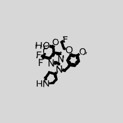 COc1ccc(CN(c2ncc(C(=O)O)c(C(F)(F)F)n2)C2CCNCC2)cc1OCCF